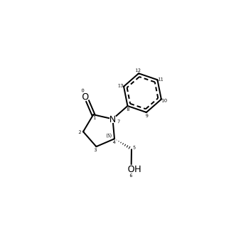 O=C1CC[C@@H](CO)N1c1ccccc1